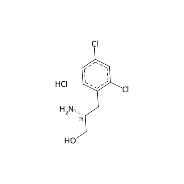 Cl.N[C@@H](CO)Cc1ccc(Cl)cc1Cl